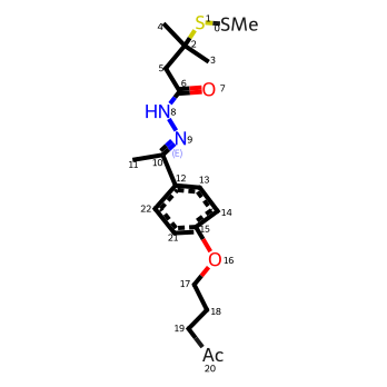 CSSC(C)(C)CC(=O)N/N=C(\C)c1ccc(OCCCC(C)=O)cc1